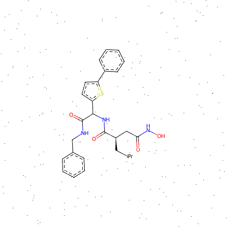 CC(C)C[C@H](CC(=O)NO)C(=O)NC(C(=O)NCc1ccccc1)c1ccc(-c2ccccc2)s1